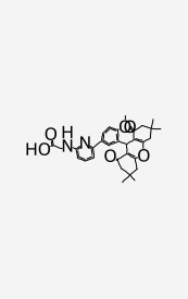 COc1ccc(-c2cccc(NCC(=O)O)n2)cc1C1C2=C(CC(C)(C)CC2=O)OC2=C1C(=O)CC(C)(C)C2